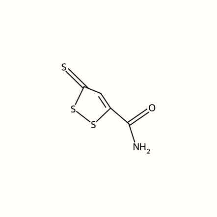 NC(=O)c1cc(=S)ss1